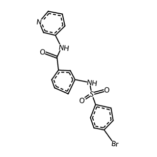 O=C(Nc1cccnc1)c1cccc(NS(=O)(=O)c2ccc(Br)cc2)c1